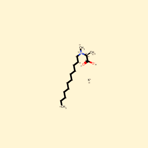 CCCCCCCCCCCCN(C)[C@@H](C)C(=O)[O-].[K+]